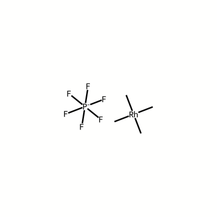 F[P-](F)(F)(F)(F)F.[CH3][Rh]([CH3])([CH3])[CH3]